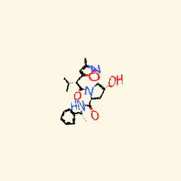 Cc1cc([C@H](C(=O)N2C[C@H](O)C[C@H]2C(=O)N[C@H](C)c2ccccc2)C(C)C)on1